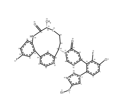 CCOc1cn(-c2ccc(Cl)c(F)c2-c2cc(=O)n([C@H]3CCC[C@@H](C)C(=O)Nc4ccc(F)cc4-c4ccnc3c4)cn2)nn1